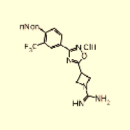 CCCCCCCCCc1ccc(-c2noc(C3CN(C(=N)N)C3)n2)cc1C(F)(F)F.Cl